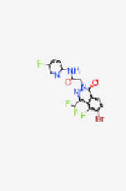 O=C(Cn1nc(C(F)F)c2c(F)c(Br)ccc2c1=O)Nc1ccc(F)cn1